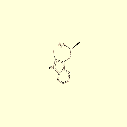 Cc1[nH]c2ccccc2c1C[C@H](C)N